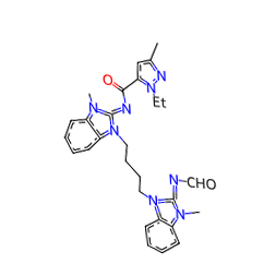 CCn1nc(C)cc1C(=O)/N=c1\n(C)c2ccccc2n1CCCCn1/c(=N/C=O)n(C)c2ccccc21